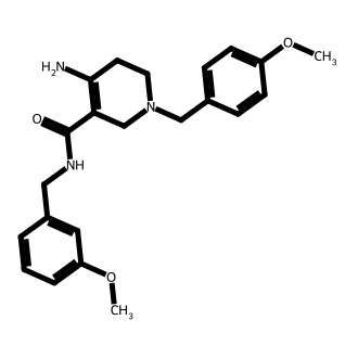 COc1ccc(CN2CCC(N)=C(C(=O)NCc3cccc(OC)c3)C2)cc1